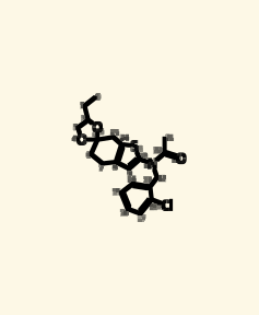 CCC1COC2(CCc3cc(N(Cc4ccccc4Cl)C(C)=O)sc3C2)O1